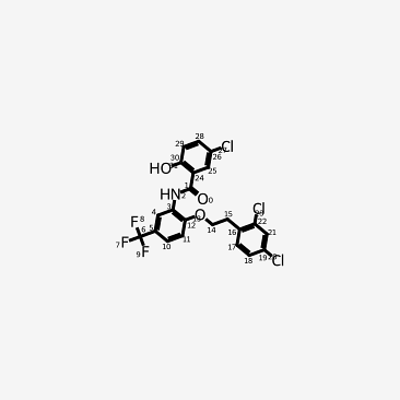 O=C(Nc1cc(C(F)(F)F)ccc1OCCc1ccc(Cl)cc1Cl)c1cc(Cl)ccc1O